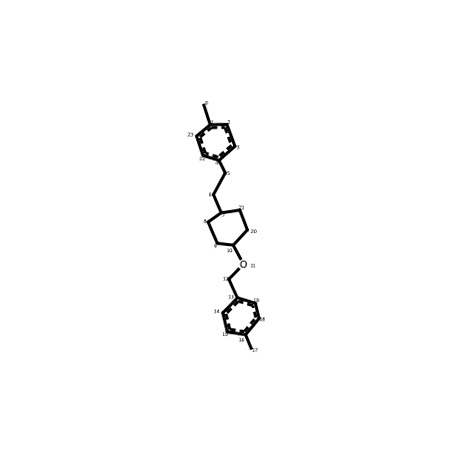 Cc1ccc(CCC2CCC(OCc3ccc(C)cc3)CC2)cc1